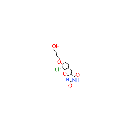 O=c1nc2oc3c(Cl)c(OCCCCO)ccc3cc-2c(=O)[nH]1